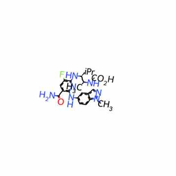 CC(C)[C@H](Nc1nc(Nc2ccc3c(cnn3C)c2)c(C(N)=O)cc1F)[C@H](C)NC(=O)O